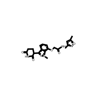 Cc1cc(CNC(=O)COc2cccc3c(C4CCC(=O)NC4=O)nn(C)c23)no1